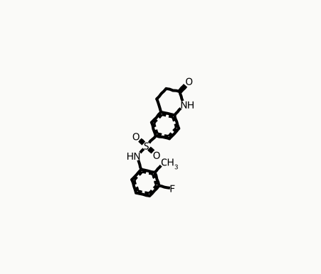 Cc1c(F)cccc1NS(=O)(=O)c1ccc2c(c1)CCC(=O)N2